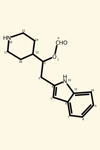 O=COC(Cc1cc2ccccc2[nH]1)C1CCNCC1